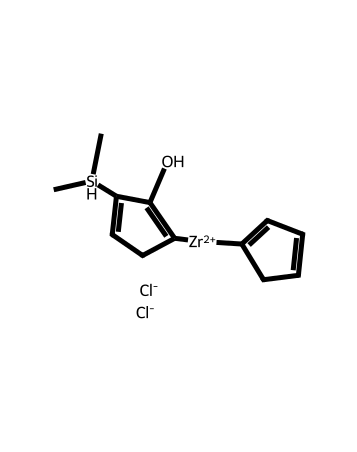 C[SiH](C)C1=CC[C]([Zr+2][C]2=CC=CC2)=C1O.[Cl-].[Cl-]